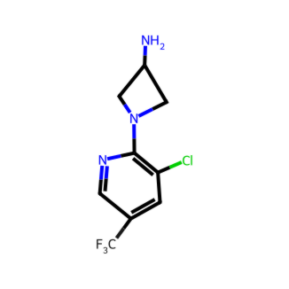 NC1CN(c2ncc(C(F)(F)F)cc2Cl)C1